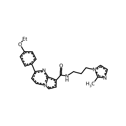 CCOc1ccc(-c2ccn3ccc(C(=O)NCCCn4ccnc4C)c3n2)cc1